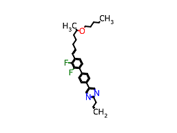 C=CCc1ncc(-c2ccc(-c3ccc(C=CCCCC(C)OCCCCC)c(F)c3F)cc2)cn1